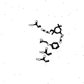 C=CC(=O)O.C=CC(=O)O.C=CC(=O)O.CC1(C)CC(N=C=O)CC(C)(CN=C=O)C1.c1ccc(OCC2CO2)cc1